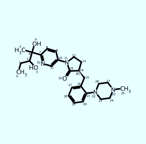 CCC(O)C(C)(O)c1ccc(N2CC[C@@H](Cc3ccccc3N3CCN(C)CC3)C2=O)cn1